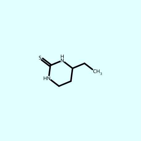 CCC1CCNC(=S)N1